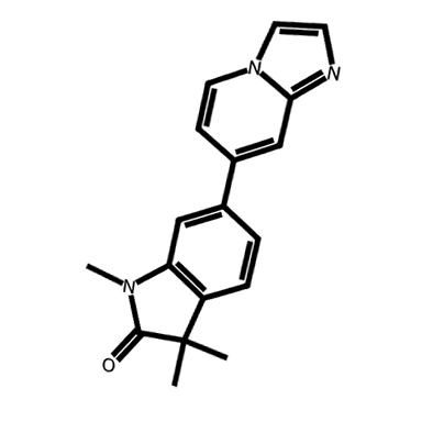 CN1C(=O)C(C)(C)c2ccc(-c3ccn4ccnc4c3)cc21